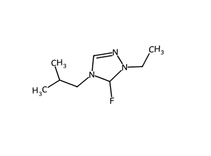 CCN1N=CN(CC(C)C)C1F